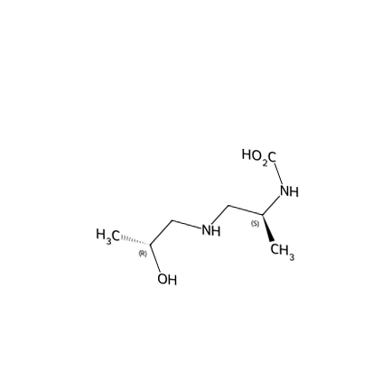 C[C@@H](O)CNC[C@H](C)NC(=O)O